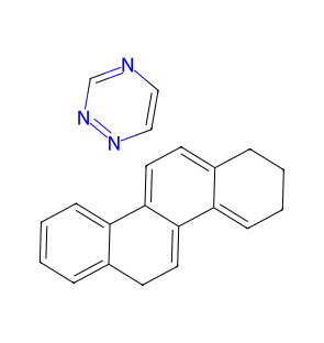 C1=c2c(ccc3c2=CCc2ccccc2-3)CCC1.c1cnncn1